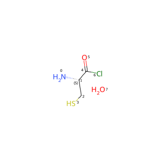 N[C@@H](CS)C(=O)Cl.O